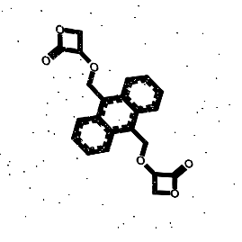 O=C1OCC1OCc1c2ccccc2c(COC2COC2=O)c2ccccc12